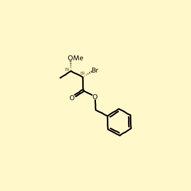 CO[C@@H](C)[C@H](Br)C(=O)OCc1ccccc1